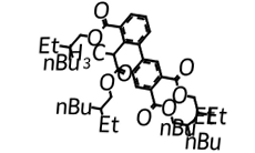 CCCCC(CC)COC(=O)c1ccc(-c2cccc(C(=O)OCC(CC)CCCC)c2C(C)C(=O)OCC(CC)CCCC)cc1C(=O)OCC(CC)CCCC